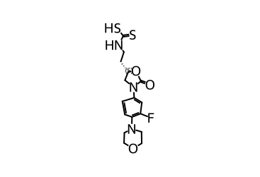 O=C1O[C@@H](CCNC(=S)S)CN1c1ccc(N2CCOCC2)c(F)c1